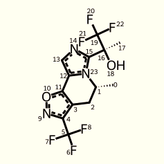 C[C@@H]1Cc2c(C(F)(F)F)noc2-c2cnc([C@](C)(O)C(F)(F)F)n21